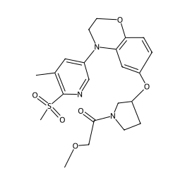 COCC(=O)N1CCC(Oc2ccc3c(c2)N(c2cnc(S(C)(=O)=O)c(C)c2)CCO3)C1